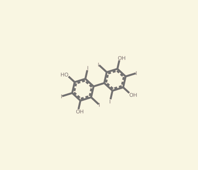 Oc1c(I)c(O)c(I)c(-c2c(I)c(O)c(I)c(O)c2I)c1I